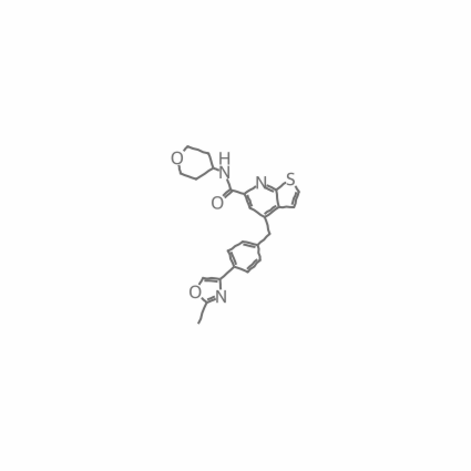 Cc1nc(-c2ccc(Cc3cc(C(=O)NC4CCOCC4)nc4sccc34)cc2)co1